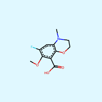 COc1c(F)cc2c(c1C(=O)O)OCCN2C